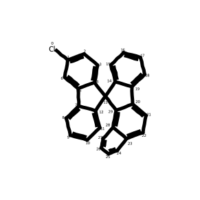 Clc1ccc2c(c1)-c1ccccc1C21c2ccccc2-c2ccc3ccccc3c21